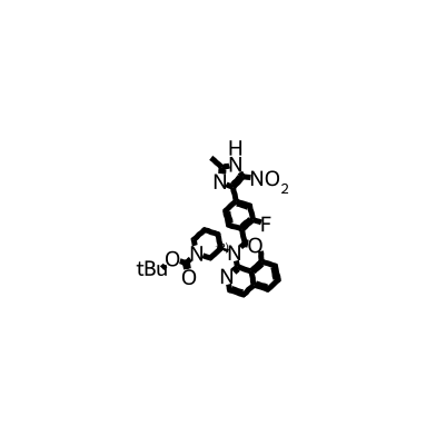 Cc1nc(-c2ccc(C(=O)N(c3nccc4cccc(C)c34)[C@@H]3CCCN(C(=O)OC(C)(C)C)C3)c(F)c2)c([N+](=O)[O-])[nH]1